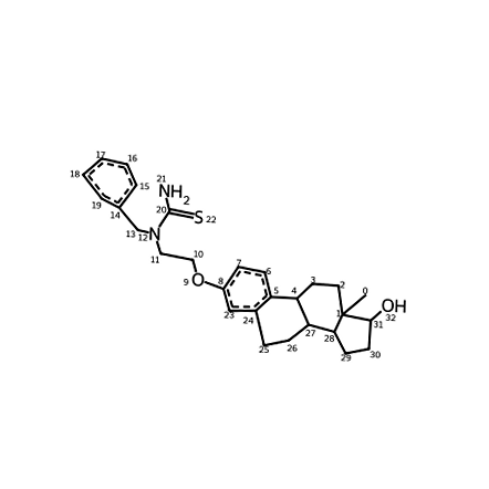 CC12CCC3c4ccc(OCCN(Cc5ccccc5)C(N)=S)cc4CCC3C1CCC2O